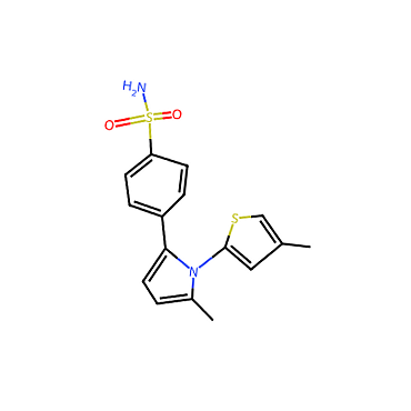 Cc1csc(-n2c(C)ccc2-c2ccc(S(N)(=O)=O)cc2)c1